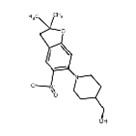 CC1(C)Cc2cc([N+](=O)[O-])c(N3CCC(CO)CC3)cc2O1